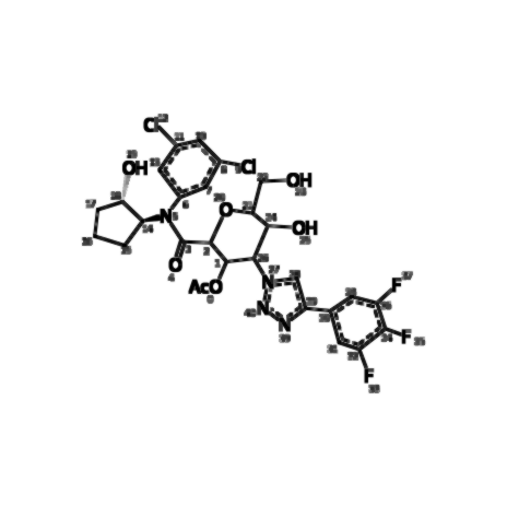 CC(=O)OC1C(C(=O)N(c2cc(Cl)cc(Cl)c2)[C@H]2CCC[C@@H]2O)OC(CO)C(O)C1n1cc(-c2cc(F)c(F)c(F)c2)nn1